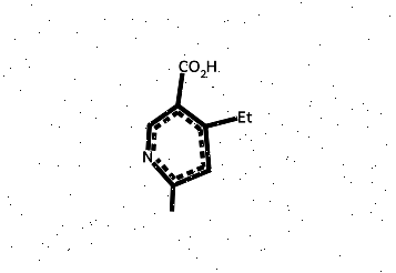 CCc1cc(C)ncc1C(=O)O